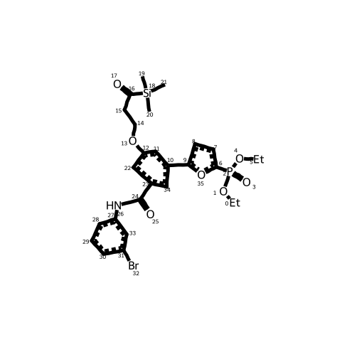 CCOP(=O)(OCC)c1ccc(-c2cc(OCCC(=O)[Si](C)(C)C)cc(C(=O)Nc3cccc(Br)c3)c2)o1